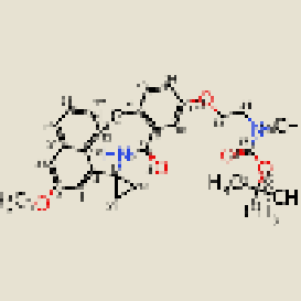 COc1cc(C2(NC(=O)c3cc(OCCN(C)C(=O)OC(C)(C)C)ccc3C)CC2)c2ccccc2c1